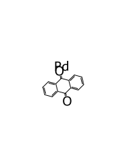 O=C1c2ccccc2C(=O)c2ccccc21.[Pd]